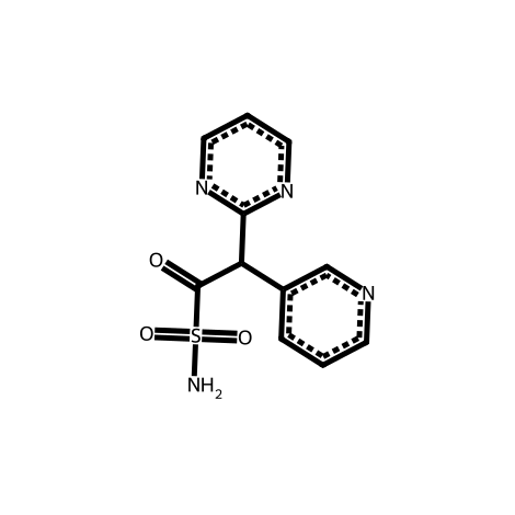 NS(=O)(=O)C(=O)C(c1cccnc1)c1ncccn1